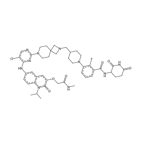 CNC(=O)COc1cc2cc(Nc3nc(N4CCC5(CC4)CN(CC4CCN(c6cccc(C(=O)NC7CCC(=O)NC7=O)c6F)CC4)C5)ncc3Cl)ccc2n(C(C)C)c1=O